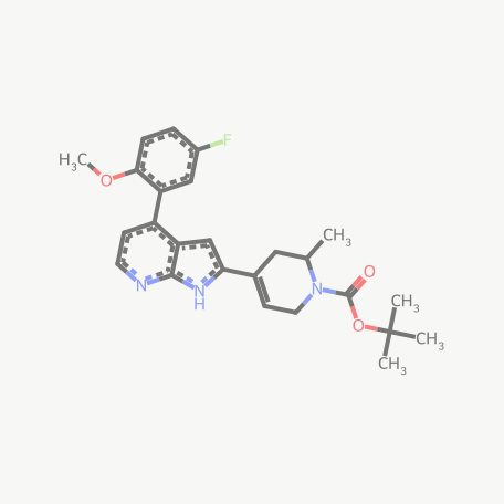 COc1ccc(F)cc1-c1ccnc2[nH]c(C3=CCN(C(=O)OC(C)(C)C)C(C)C3)cc12